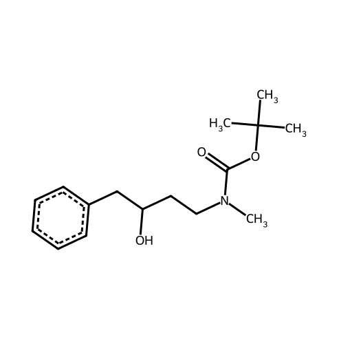 CN(CCC(O)Cc1ccccc1)C(=O)OC(C)(C)C